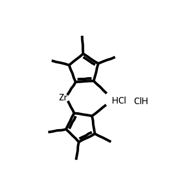 CC1=C(C)C(C)[C]([Zr][C]2=C(C)C(C)=C(C)C2C)=C1C.Cl.Cl